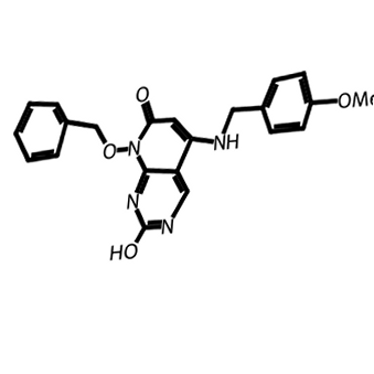 COc1ccc(CNc2cc(=O)n(OCc3ccccc3)c3nc(O)ncc23)cc1